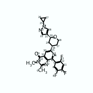 Cc1nc2c(-c3cc(F)c(F)cc3F)nc([C@@H]3CCO[C@H](c4cnn(C5CC5)c4)C3)cc2c(=O)n1C